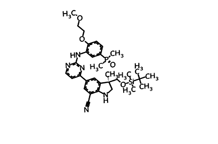 COCCOc1ccc(P(C)(C)=O)cc1Nc1nccc(-c2cc(C#N)c3c(c2)[C@@](C)(CO[Si](C)(C)C(C)(C)C)CN3)n1